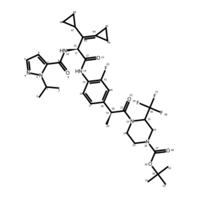 CC(C)n1nccc1C(=O)N[C@H](C(=O)Nc1ccc([C@H](C)C(=O)N2CCN(C(=O)OC(C)(C)C)CC2C(F)(F)F)cc1F)C(=C1CC1)C1CC1